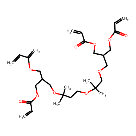 C=CC(=C)OCC(COC(=O)C=C)COC(C)(C)CCOC(C)(C)COCC(COC(=O)C=C)COC(=O)C=C